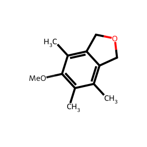 COc1c(C)c(C)c2c(c1C)COC2